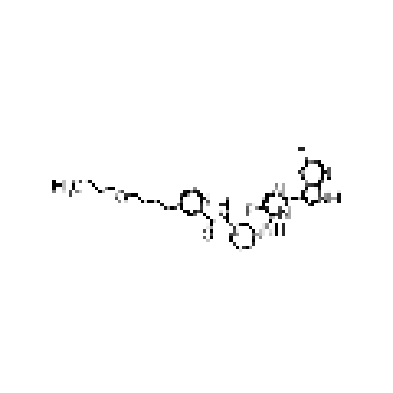 CCCCOCCCCc1ccnc(C(=O)N[C@H]2CCC[C@@H](Nc3nc(-c4c[nH]c5ncc(F)cc45)ncc3F)C2)c1